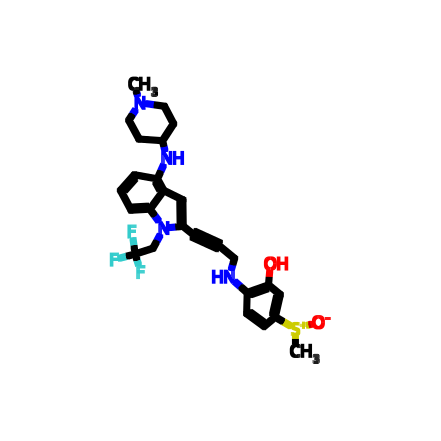 CN1CCC(Nc2cccc3c2cc(C#CCNc2ccc([S+](C)[O-])cc2O)n3CC(F)(F)F)CC1